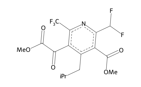 COC(=O)C(=O)c1c(C(F)(F)F)nc(C(F)F)c(C(=O)OC)c1CC(C)C